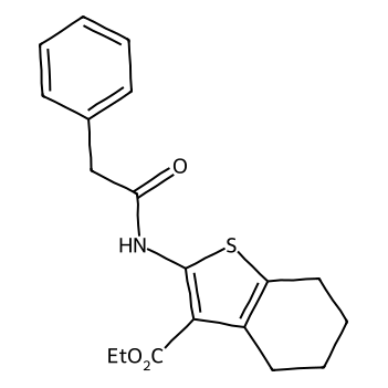 CCOC(=O)c1c(NC(=O)Cc2ccccc2)sc2c1CCCC2